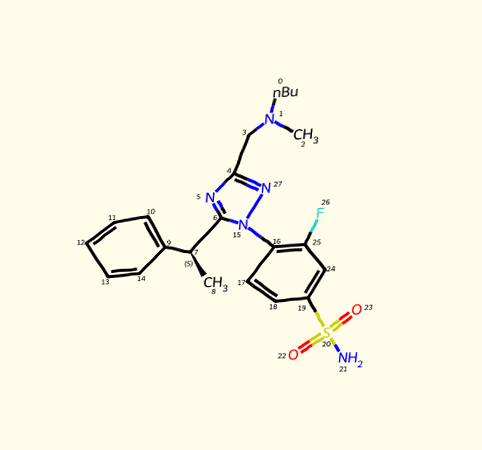 CCCCN(C)Cc1nc([C@@H](C)c2ccccc2)n(-c2ccc(S(N)(=O)=O)cc2F)n1